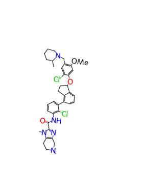 COc1cc(OC2CCc3c(-c4cccc(NC(=O)c5nc6c(n5C)CCN(C)C6)c4Cl)cccc32)c(Cl)cc1CN1CCCCC1C